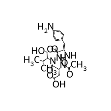 CC(=O)N[C@@H](CC(=O)O)C(=O)N([C@H](C(=O)O)C(C)C)N1C(=O)NC(=Cc2ccc(N)cc2)C1=O